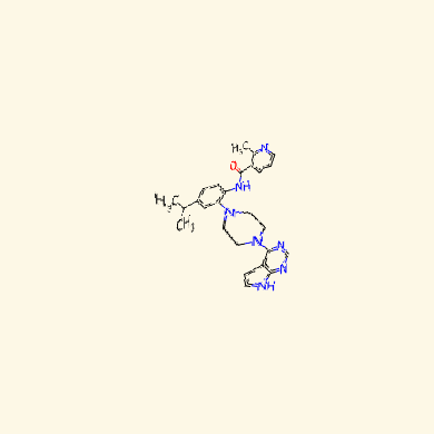 Cc1ncccc1C(=O)Nc1ccc(C(C)C)cc1N1CCN(c2ncnc3[nH]ccc23)CC1